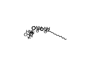 CCCCCCCCCCCCCCOC(=O)Nc1ccc(C(=O)Nc2cccc(-c3nn4nc(C(C)(C)C)c(Cl)c4[nH]3)c2)cc1